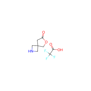 O=C(O)C(F)(F)F.O=C1CC2(CNC2)CO1